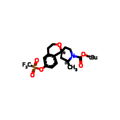 C[C@H]1C[C@]2(CCN1C(=O)OC(C)(C)C)OCCc1cc(OS(=O)(=O)C(F)(F)F)ccc12